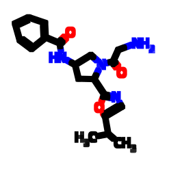 CC(C)c1cnc(C2CC(NC(=O)c3ccccc3)CN2C(=O)CN)o1